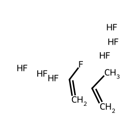 C=CC.C=CF.F.F.F.F.F.F